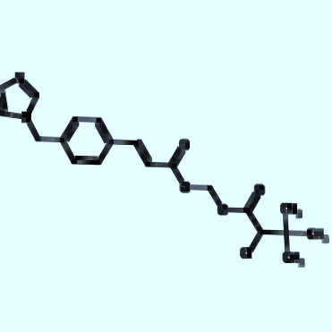 CC(C)(C)C(Cl)C(=O)OCOC(=O)/C=C/c1ccc(Cn2ccnc2)cc1